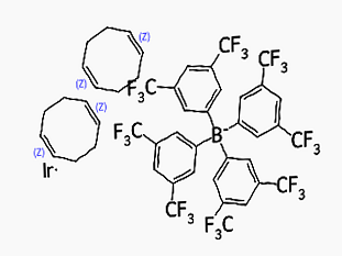 C1=C\CC/C=C\CC/1.C1=C\CC/C=C\CC/1.FC(F)(F)c1cc([B-](c2cc(C(F)(F)F)cc(C(F)(F)F)c2)(c2cc(C(F)(F)F)cc(C(F)(F)F)c2)c2cc(C(F)(F)F)cc(C(F)(F)F)c2)cc(C(F)(F)F)c1.[Ir]